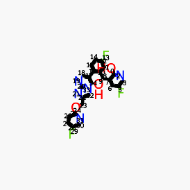 Oc1ncc(F)cc1C(O)c1cc(F)ccc1-c1cnc2nc(COc3ccc(F)cn3)cn2c1